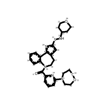 O=C(c1cccc(N2CCCOCC2)n1)N1CCc2cc(SNC3CCOCC3)sc2-c2ccccc21